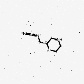 [N-]=[N+]=NC[C@H]1CNCCO1